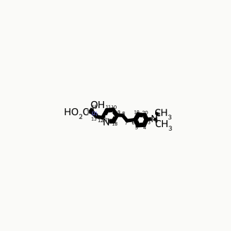 CN(C)c1ccc(CCc2ccc(/C=C(\O)C(=O)O)nc2)cc1